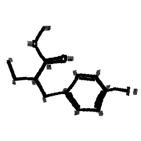 CCC(Cc1ccc(I)cc1)C(=O)OC